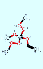 C=CO[Si](OC)(OOC)OOC